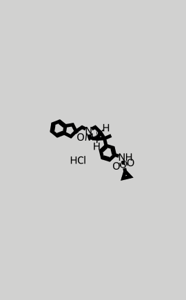 COC1(CN2C[C@@H]3[C@H](C2)C3(C)c2cccc(NS(=O)(=O)C3CC3)c2)Cc2ccccc2C1.Cl